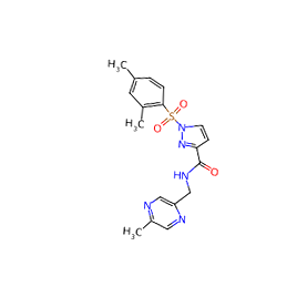 Cc1ccc(S(=O)(=O)n2ccc(C(=O)NCc3cnc(C)cn3)n2)c(C)c1